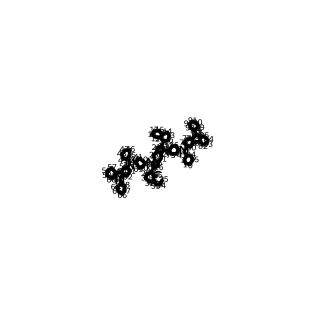 c1ccc(N(c2ccc(-n3c(-c4cccc5ccccc45)cc4cc5c(cc(-c6cccc7ccccc67)n5-c5ccc(N(c6ccccc6)c6ccc7c(c6)c6ccccc6n7-c6ccccc6)cc5)cc43)cc2)c2ccc3c(c2)c2ccccc2n3-c2ccccc2)cc1